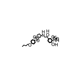 CCCCOc1ccc(S(=O)(=O)N2CCC(NCC(O)c3ccc(O)c(NS(C)(=O)=O)c3)C2)cc1